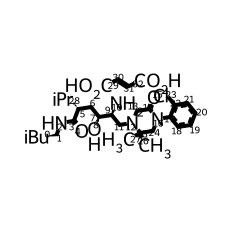 CC[C@H](C)CNC(=O)[C@@H](C[C@H](O)[C@@H](N)CN1CC(=O)N(c2ccccc2Cl)CC1(C)C)C(C)C.O=C(O)/C=C/C(=O)O